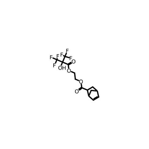 O=C(OCCOC(=O)C(O)(C(F)(F)F)C(F)(F)F)C1CC2C=CC1C2